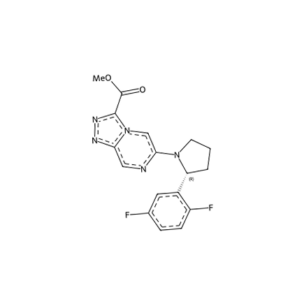 COC(=O)c1nnc2cnc(N3CCC[C@@H]3c3cc(F)ccc3F)cn12